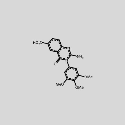 COc1cc(-n2c(N)nc3ccc(C(=O)O)cc3c2=O)cc(OC)c1OC